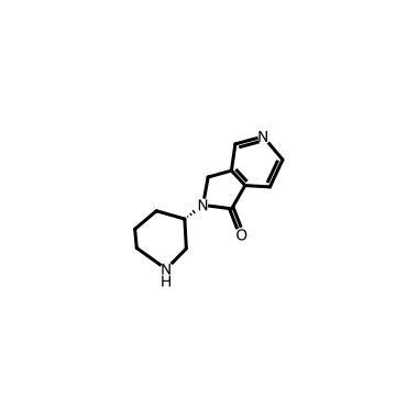 O=C1c2ccncc2CN1[C@H]1CCCNC1